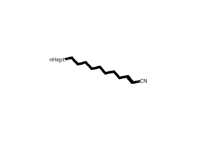 CCCCCCCCCCCCCCC/C=C/C#N